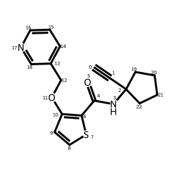 C#CC1(NC(=O)c2sccc2OCc2cccnc2)CCCC1